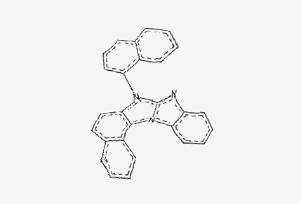 c1ccc2c(-n3c4ccc5ccccc5c4n4c5ccccc5nc34)cccc2c1